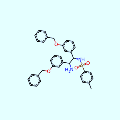 Cc1ccc(S(=O)(=O)N[C@H](c2cccc(OCc3ccccc3)c2)C(N)c2cccc(OCc3ccccc3)c2)cc1